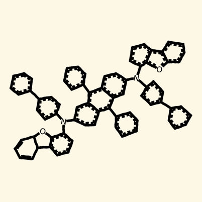 C1=CC2Oc3c(cccc3N(c3ccc(-c4ccccc4)cc3)c3ccc4c(-c5ccccc5)c5cc(N(c6ccc(-c7ccccc7)cc6)c6cccc7c6oc6ccccc67)ccc5c(-c5ccccc5)c4c3)C2C=C1